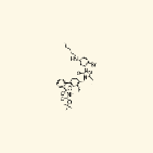 CCCCCNc1ccc(Br)c(-n2nc(CC)n(Cc3ccc(-c4ccccc4S(=O)(=O)NC(=O)OC(C)(C)C)cc3F)c2=O)c1